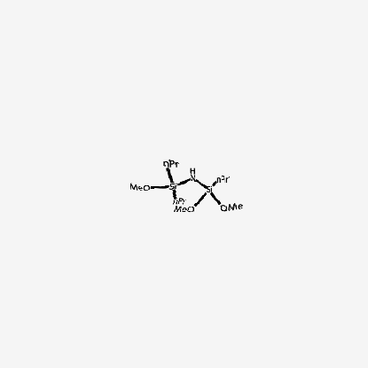 CCC[Si](CCC)(N[Si](CCC)(OC)OC)OC